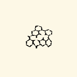 O=c1c2cccc3c(=O)c4cc5cccc6c7cccc8c9cccc%10cc1c1c(c%109)n(c87)c(c56)c4n1c23